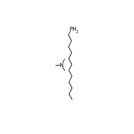 CCCCCCCCCCCCP.CN(C)C